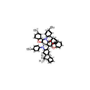 CC(C)(C)c1ccc(N2B3c4oc5ccc(C(C)(C)C)cc5c4N(c4ccc(C(C)(C)C)cc4-c4ccccc4)c4cc5c(oc6ccccc65)c(c43)-c3cc4c(cc32)C(C)(C)c2ccccc2-4)cc1